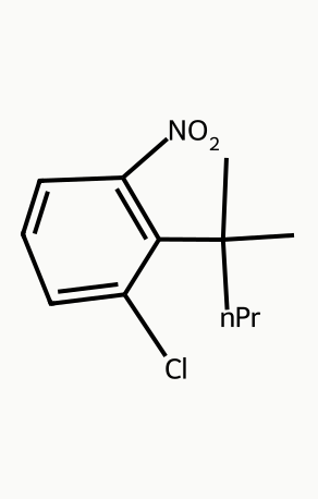 CCCC(C)(C)c1c(Cl)cccc1[N+](=O)[O-]